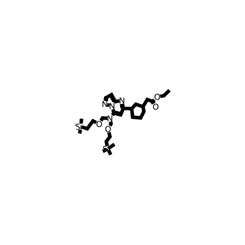 CCOC(=O)CC1CCCC(c2cc(N(COCC[Si](C)(C)C)COCC[Si](C)(C)C)n3nccc3n2)C1